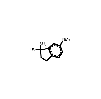 CNc1ccc2c(c1)C(C)(O)CC2